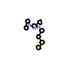 c1cc(-c2cccc(-n3c4ccccc4c4cc(-n5c6ccccc6c6ccccc65)cnc43)c2)cc(-c2cccc3c2sc2ccccc23)c1